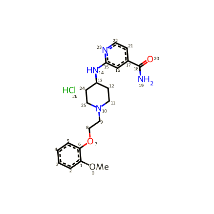 COc1ccccc1OCCN1CCC(Nc2cc(C(N)=O)ccn2)CC1.Cl